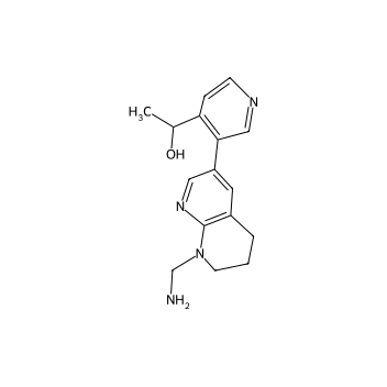 CC(O)c1ccncc1-c1cnc2c(c1)CCCN2CN